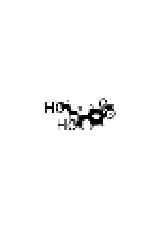 OCCC[C@@H](CO)c1ccc2c(c1)OCO2